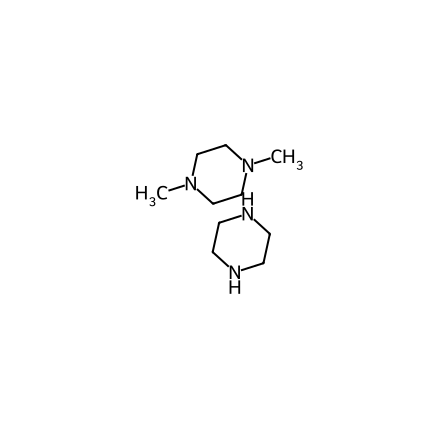 C1CNCCN1.CN1CCN(C)CC1